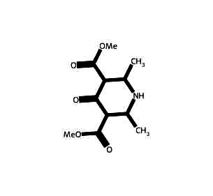 COC(=O)C1C(=O)C(C(=O)OC)C(C)NC1C